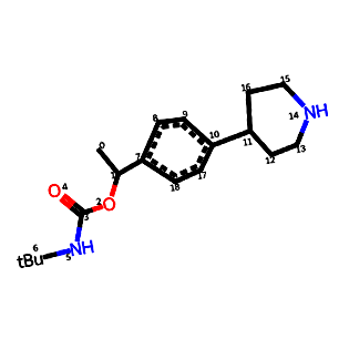 CC(OC(=O)NC(C)(C)C)c1ccc(C2CCNCC2)cc1